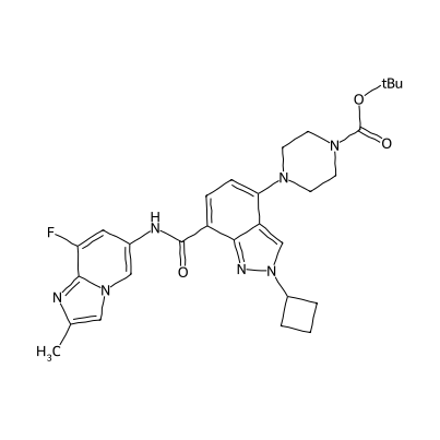 Cc1cn2cc(NC(=O)c3ccc(N4CCN(C(=O)OC(C)(C)C)CC4)c4cn(C5CCC5)nc34)cc(F)c2n1